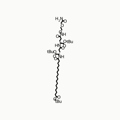 CC(C)(C)OC(=O)CCCCCCCCCCCCCCCCC(=O)N[C@@H](CCC(=O)N[C@@H](CCC(=O)NOCCOCC(N)=O)C(=O)OC(C)(C)C)C(=O)OC(C)(C)C